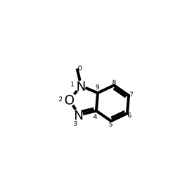 CN1ON=C2C=CC=CC21